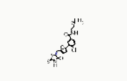 COCCNC(=O)c1ccc(Cl)c(-c2ccc(/C=C3/SC(=S)NC3=O)o2)c1